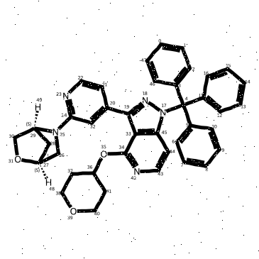 c1ccc(C(c2ccccc2)(c2ccccc2)n2nc(-c3ccnc(N4C[C@@H]5C[C@H]4CO5)c3)c3c(OC4CCOCC4)nccc32)cc1